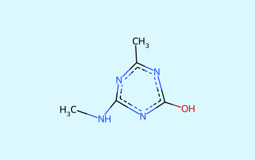 CNc1nc(C)nc(O)n1